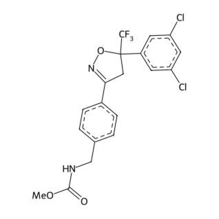 COC(=O)NCc1ccc(C2=NOC(c3cc(Cl)cc(Cl)c3)(C(F)(F)F)C2)cc1